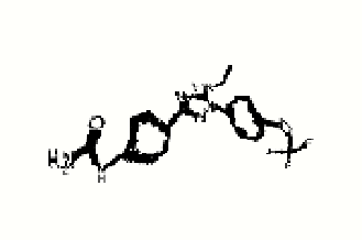 CCNc1nc(-c2ccc(NC(N)=O)cc2)nn1-c1ccc(OC(F)(F)F)cc1